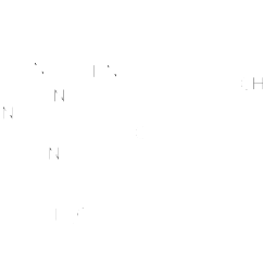 CCc1nc2ncnn2c(NC2CCC(C)CC2)c1Cl